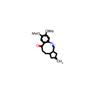 C=C1CC2/C=N\c3cc(OC)c(OC)cc3C(=O)CCC2C1